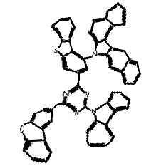 c1ccc2cc3c(cc2c1)c1c2ccccc2ccc1n3-c1cc(-c2nc(-c3ccc4oc5ccccc5c4c3)nc(-n3c4ccccc4c4ccccc43)n2)cc2sc3ccccc3c12